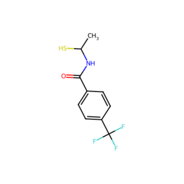 CC(S)NC(=O)c1ccc(C(F)(F)F)cc1